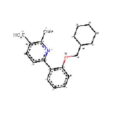 COc1nc(-c2ccccc2OCC2CCCCC2)ccc1C(=O)O